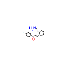 C/C(=C\c1ccccc1/C=C/N)C(=O)c1ccc(F)cc1